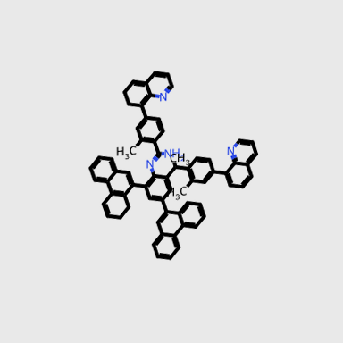 Cc1cc(C2=c3ncccc3=CCC2)ccc1/C(N)=N/c1c(-c2cc3ccccc3c3c2CCC=C3)cc(-c2cc3ccccc3c3ccccc23)cc1C(C)c1ccc(-c2cccc3cccnc23)cc1C